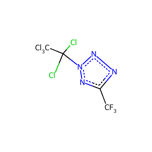 FC(F)(F)c1nnn(C(Cl)(Cl)C(Cl)(Cl)Cl)n1